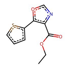 CCOC(=O)c1ncoc1-c1cccs1